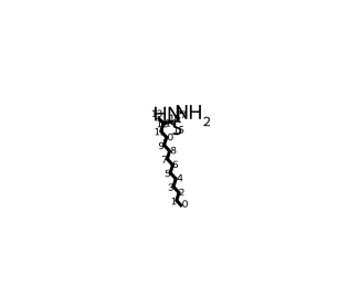 CCCCCCCCCCCCC(C)C(=S)NN